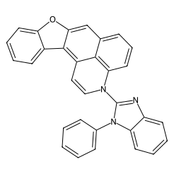 C1=CN(c2nc3ccccc3n2-c2ccccc2)c2cccc3cc4oc5ccccc5c4c1c23